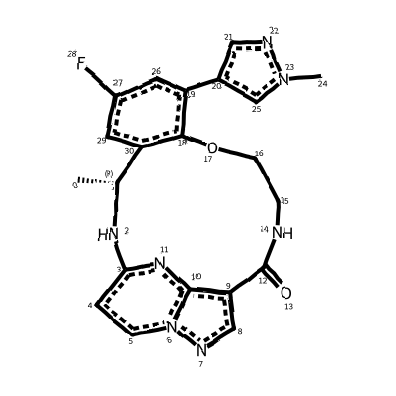 C[C@H]1Nc2ccn3ncc(c3n2)C(=O)NCCOc2c(-c3cnn(C)c3)cc(F)cc21